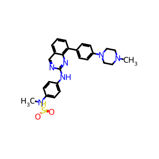 CN1CCN(c2ccc(-c3cccc4cnc(Nc5ccc(N(C)[SH](=O)=O)cc5)nc34)cc2)CC1